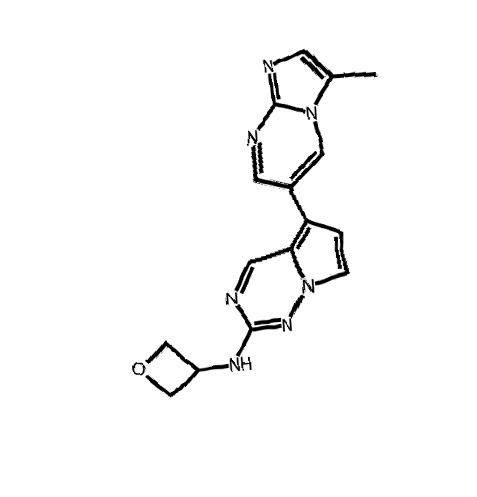 Cc1cnc2ncc(-c3ccn4nc(NC5COC5)ncc34)cn12